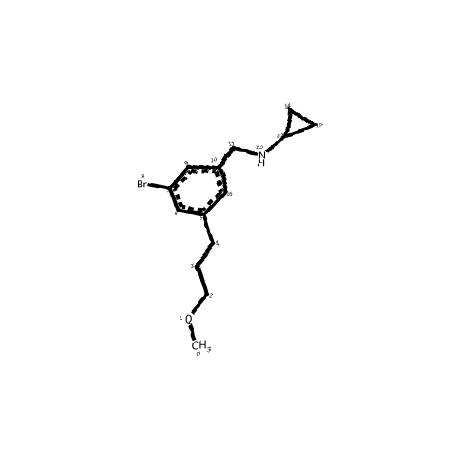 COCCCc1cc(Br)cc(CNC2CC2)c1